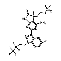 CC1(CCOS(C)(=O)=O)C(=O)Nc2nc(-c3nn(CCC(F)(F)C(F)(F)F)c4ncc(F)cc34)nc(N)c21